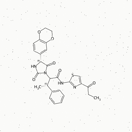 CCC(=O)c1csc(NC(=O)C([C@@H](C)c2ccccc2)N2C(=O)N[C@H](c3ccc4c(c3)OCCO4)C2=O)n1